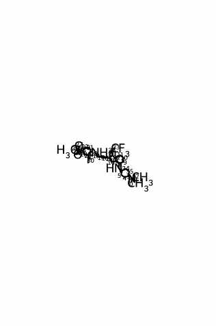 CN(C)[C@H]1CC[C@@H](Nc2cccc3c2cc(C#CCNc2ccc(S(C)(=O)=O)cc2F)n3CC(F)(F)F)CC1